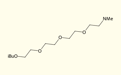 CNCCOCCOCCOCCOCC(C)C